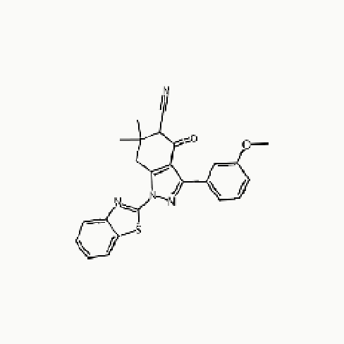 COc1cccc(-c2nn(-c3nc4ccccc4s3)c3c2C(=O)C(C#N)C(C)(C)C3)c1